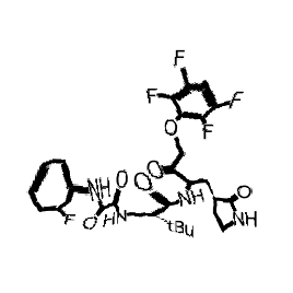 CC(C)(C)[C@H](NC(=O)C(=O)Nc1ccccc1F)C(=O)NC(C[C@@H]1CCNC1=O)C(=O)COc1c(F)c(F)cc(F)c1F